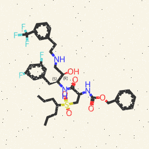 CCCC(CCC)S(=O)(=O)CC(NC(=O)OCc1ccccc1)C(=O)N[C@@H](Cc1cc(F)cc(F)c1)[C@H](O)CNCCc1cccc(C(F)(F)F)c1